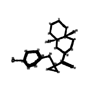 O=C(N1CC[C@H]2CCCC[C@@H]2C1)C1(Sc2ccc(Cl)cc2)CC1